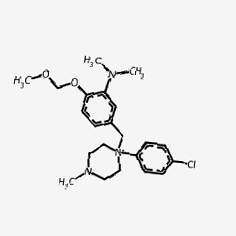 COCOc1ccc(C[N+]2(c3ccc(Cl)cc3)CCN(C)CC2)cc1N(C)C